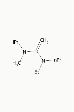 C=C(N(CC)CCC)N(C)C(C)C